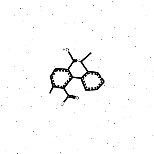 CCc1ccccc1-c1c(C(=O)O)ccc(C)c1C(=O)O